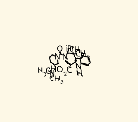 CC(C)C1N(C(=O)N2CCC[C@@H](CN(C)C)C2)C=C(C(=O)O)c2[nH]c3ccccc3c2C1(C)C